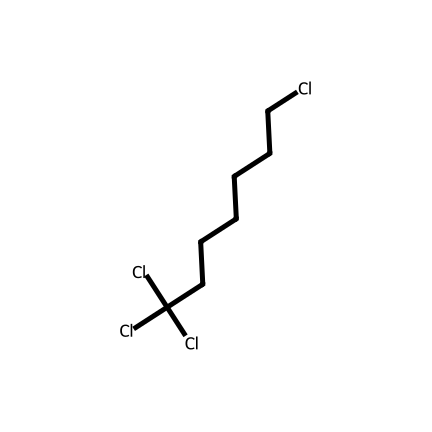 ClCCCCCCC(Cl)(Cl)Cl